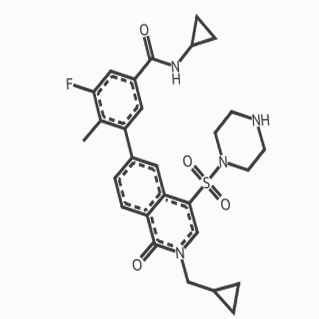 Cc1c(F)cc(C(=O)NC2CC2)cc1-c1ccc2c(=O)n(CC3CC3)cc(S(=O)(=O)N3CCNCC3)c2c1